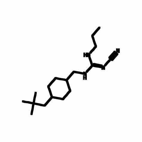 CCCN/C(=N\C#N)NCC1CCC(CC(C)(C)C)CC1